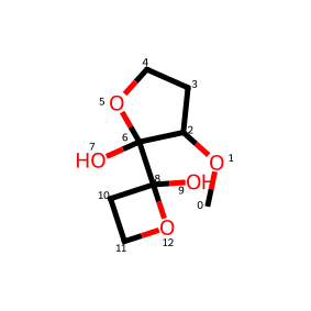 COC1CCOC1(O)C1(O)CCO1